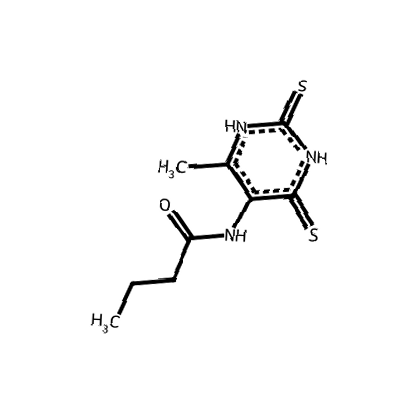 CCCC(=O)Nc1c(C)[nH]c(=S)[nH]c1=S